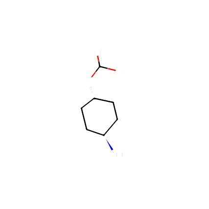 N[C@H]1CC[C@H](OC(O)O)CC1